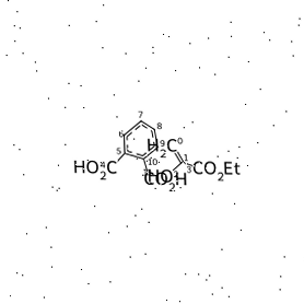 C=C(O)C(=O)OCC.O=C(O)c1ccccc1C(=O)O